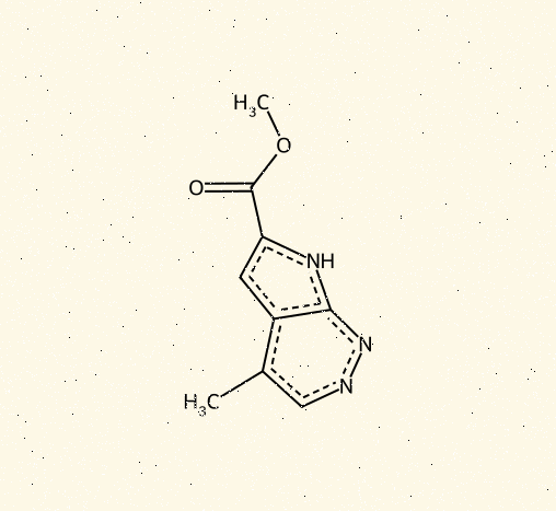 COC(=O)c1cc2c(C)cnnc2[nH]1